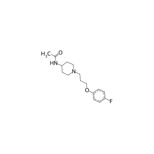 CC(=O)NC1CCN(CCCOc2ccc(F)cc2)CC1